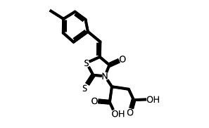 Cc1ccc(/C=C2\SC(=S)N(C(CC(=O)O)C(=O)O)C2=O)cc1